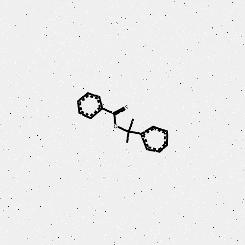 CC(C)(OC(=S)c1ccccc1)c1ccccc1